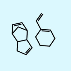 C1=CC2C3C=CC(C3)C2C1.C=CC1=CCCCC1